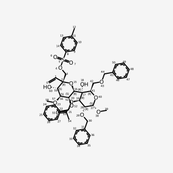 C=C[C@]1(COS(=O)(=O)c2ccc(C)cc2)O[C@@H]([C@]2(O)[C@H](OCc3ccccc3)[C@@H](OCc3ccccc3)[C@@H](OC)O[C@@H]2COCc2ccccc2)[C@@H](OC(C)=O)[C@@H](OC)[C@@H]1O